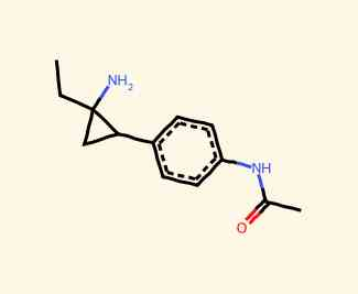 CCC1(N)CC1c1ccc(NC(C)=O)cc1